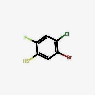 Fc1cc(Cl)c(Br)cc1S